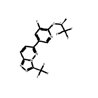 C[C@H](Oc1ncc(-c2ccc3nnc(C(F)(F)F)n3n2)cc1F)C(F)(F)F